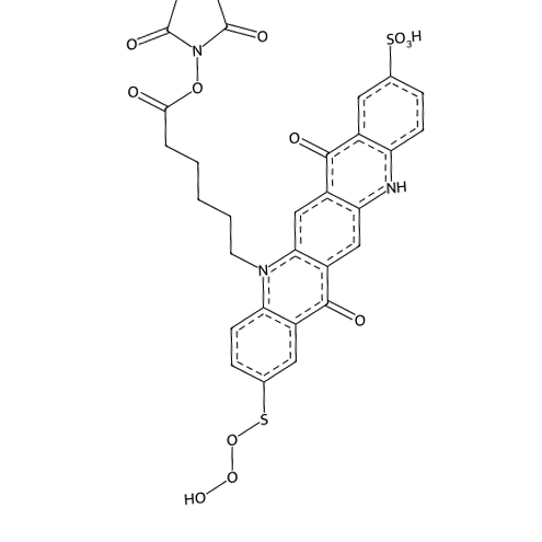 O=C(CCCCCn1c2ccc(SOOO)cc2c(=O)c2cc3[nH]c4ccc(S(=O)(=O)O)cc4c(=O)c3cc21)ON1C(=O)CCC1=O